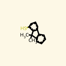 CC1(C)c2ccccc2-c2cccc(S)c21